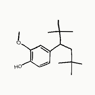 COc1cc(C(CC(C)(C)C)C(C)(C)C)ccc1O